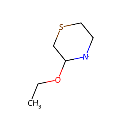 CCOC1CSCC[N]1